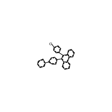 Clc1ccc(-c2c(-c3ccc(-c4ccccc4)cc3)c3ccccc3c3ccccc23)cc1